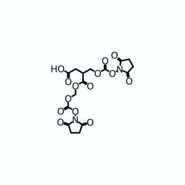 O=C(O)CC(COC(=O)ON1C(=O)CCC1=O)C(=O)OCOC(=O)ON1C(=O)CCC1=O